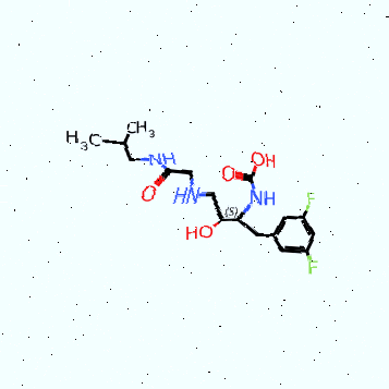 CC(C)CNC(=O)CNC[C@H](O)C(Cc1cc(F)cc(F)c1)NC(=O)O